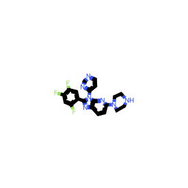 Fc1cc(F)c(-c2nc3ccc(N4CCNCC4)nc3n2-c2ccncn2)cc1F